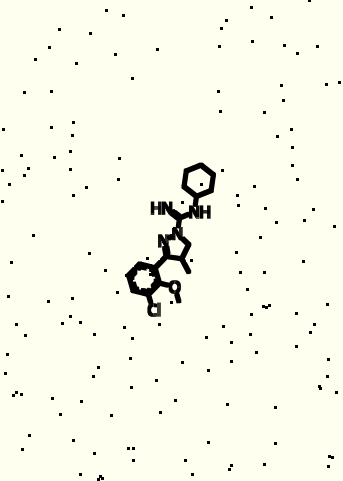 COc1c(Cl)cccc1C1=NN(C(=N)NC2CCCCC2)CC1C